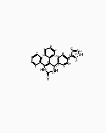 O=C1NC(c2ccccc2)=C(c2ccccc2)C(c2ccc(-c3nn[nH]n3)cc2)N1